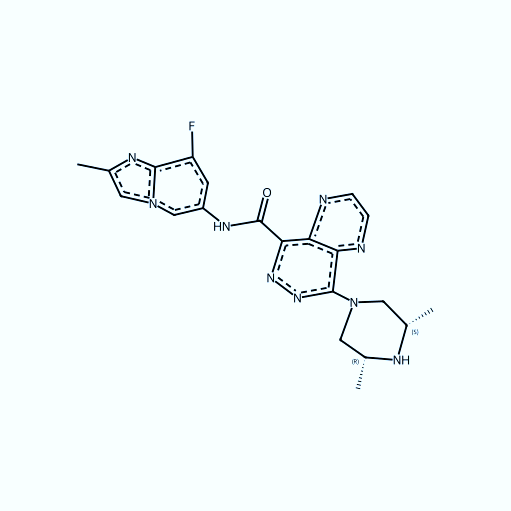 Cc1cn2cc(NC(=O)c3nnc(N4C[C@@H](C)N[C@@H](C)C4)c4nccnc34)cc(F)c2n1